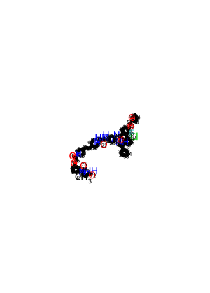 Cc1ccc(OCC(=O)N2CCC(CCC3CCN(CC(=O)NC4CCC(NCC(c5ccccc5)c5ccc(Cl)c(-c6c(C(N)=O)ccc(OC[C@@H]7CCCO7)c6F)c5)CC4)CC3)CC2)cc1N1CCC(=O)NC1=O